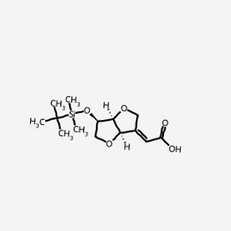 CC(C)(C)[Si](C)(C)O[C@@H]1CO[C@@H]2/C(=C/C(=O)O)CO[C@@H]21